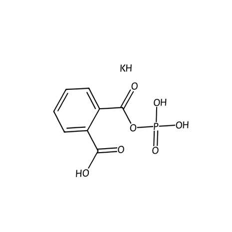 O=C(O)c1ccccc1C(=O)OP(=O)(O)O.[KH]